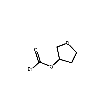 CCC(=O)OC1CCOC1